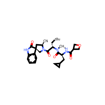 CN(C(=O)[C@H](CC1CC1)NC(=O)C1COC1)[C@@H](CC(C)(C)C)C(=O)N1C[C@]2(C[C@H]1C#N)C(=O)Nc1ccccc12